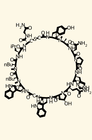 CCCC[C@H]1C(=O)N(C)[C@@H](CCCC)C(=O)N[C@@H](CC(C)C)C(=O)N[C@H](C(=O)NCC(N)=O)CSCC(=O)N[C@@H](Cc2ccc(O)cc2)C(=O)N(C)[C@@H](C)C(=O)N[C@@H](CC(N)=O)C(=O)N2CCC[C@H]2C(=O)N[C@@H](Cc2c[nH]cn2)C(=O)N[C@@H](CCC(N)=O)C(=O)N2C[C@H](O)C[C@H]2C(=O)N[C@@H](Cc2c[nH]c3ccccc23)C(=O)NCC(=O)N[C@@H](Cc2c[nH]c3ccccc23)C(=O)N1C